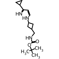 CC(C)(C)OC(=O)NCC1CC(N/C=C\C(=N)C2CC2)C1